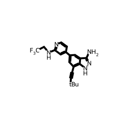 CC(C)(C)C#Cc1cc(-c2ccnc(NCC(F)(F)F)c2)cc2c(N)n[nH]c12